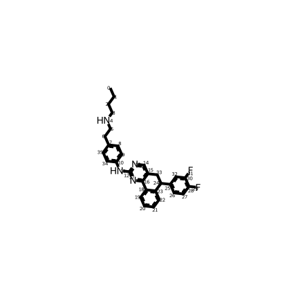 CCCCNCCc1ccc(Nc2ncc3c(n2)-c2ccccc2C(c2ccc(F)c(F)c2)C3)cc1